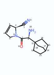 N#C[C@@H]1C=CCN1C(=O)[C@@H](N)C12CCC(CC1)CC2